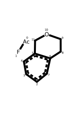 CC(=O)F.c1ccc2c(c1)CCOC2